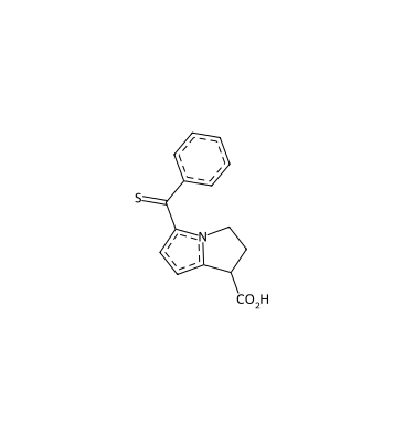 O=C(O)C1CCn2c(C(=S)c3ccccc3)ccc21